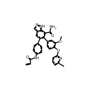 C=CC(=O)Nc1ccc(-c2cc3cn[nH]c3c(C(N)=O)c2-c2ccc(Oc3cccc(C)n3)c(OC)c2)cc1